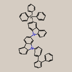 c1ccc(-c2ccccc2-c2cccc(-n3c4ccccc4c4ccc(-n5c6ccccc6c6cc([Si](c7ccccc7)(c7ccccc7)c7ccccc7)ccc65)cc43)c2)cc1